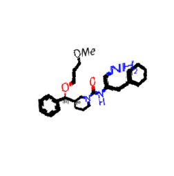 COCCCO[C@@H](c1ccccc1)[C@@H]1CCCN(C(=O)NC(CN)CC2CCCCC2)C1